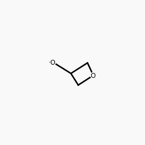 [O]C1COC1